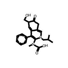 CC(C)CN1C=C2CC(=O)C(CO)C=C2C(c2ccccc2)=C1N(C)C(=O)O